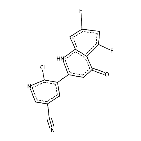 N#Cc1cnc(Cl)c(-c2cc(=O)c3c(F)cc(F)cc3[nH]2)c1